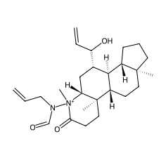 C=CCN(C=O)[N+]1(C)C(=O)CC[C@@]2(C)[C@H]1C[C@H](C(O)C=C)[C@H]1[C@@H]3CCC[C@@]3(C)CC[C@@H]12